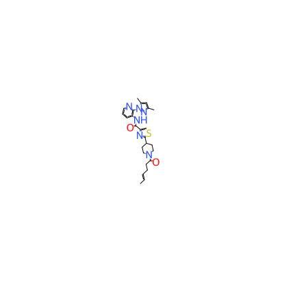 C/C=C/CCC(=O)N1CCC(c2nc(C(=O)Nc3cccnc3-n3nc(C)cc3C)cs2)CC1